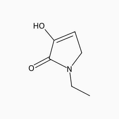 CCN1CC=C(O)C1=O